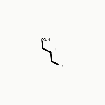 CCCCCCC(=O)O.[Ti]